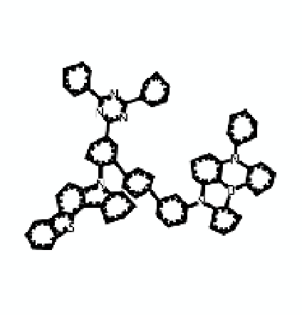 c1ccc(-c2nc(-c3ccccc3)nc(-c3ccc(-n4c5ccccc5c5c6sc7ccccc7c6ccc54)c(-c4ccc(-c5cccc(N6c7ccccc7B7c8ccccc8N(c8ccccc8)c8cccc6c87)c5)cc4)c3)n2)cc1